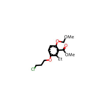 CCc1c(OCCCCl)ccc(OCOC)c1C(=O)OC